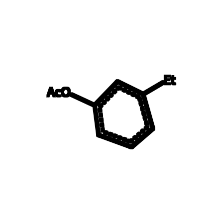 CCc1cccc(OC(C)=O)c1